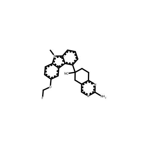 Cn1c2ccc(OCF)cc2c2c(C3(C#N)CCc4nc(N)ncc4C3)cccc21